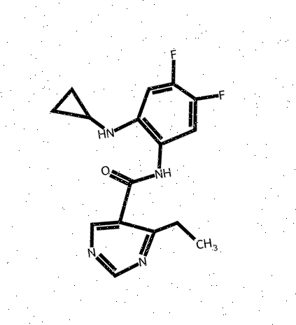 CCc1ncncc1C(=O)Nc1cc(F)c(F)cc1NC1CC1